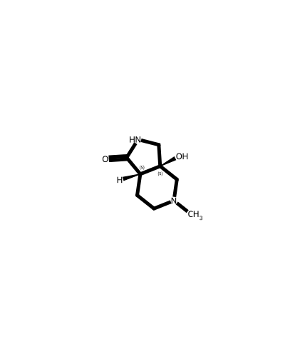 CN1CC[C@@H]2C(=O)NC[C@]2(O)C1